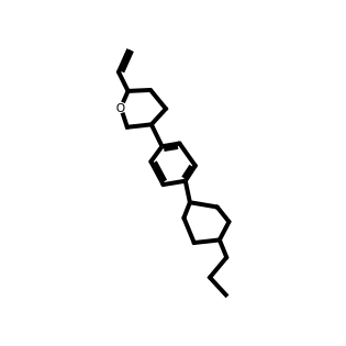 C=CC1CCC(c2ccc(C3CCC(CCC)CC3)cc2)CO1